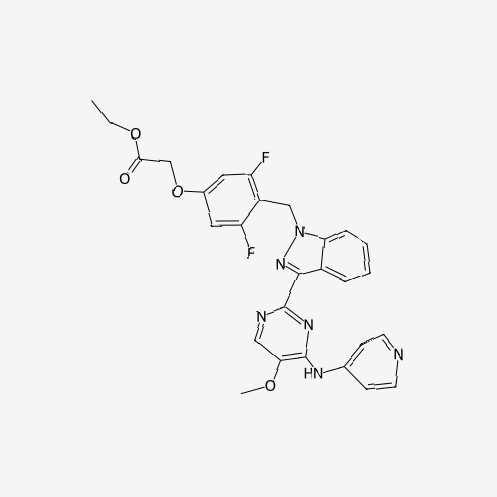 CCOC(=O)COc1cc(F)c(Cn2nc(-c3ncc(OC)c(Nc4ccncc4)n3)c3ccccc32)c(F)c1